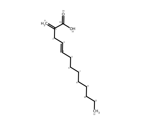 C=C(CC=CCCCCCCCC)C(=O)O